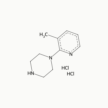 Cc1cccnc1N1CCNCC1.Cl.Cl